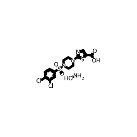 NO.O=C(O)c1cnc(N2CCN(S(=O)(=O)c3ccc(Cl)c(Cl)c3)CC2)s1